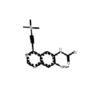 CCC(=O)Nc1cc2c(C#C[Si](C)(C)C)ncnc2cc1OC